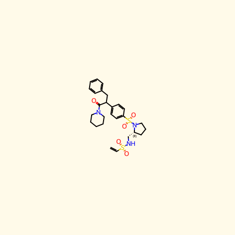 C=CS(=O)(=O)NC[C@H]1CCCN1S(=O)(=O)c1ccc(C(Cc2ccccc2)C(=O)N2CCCCC2)cc1